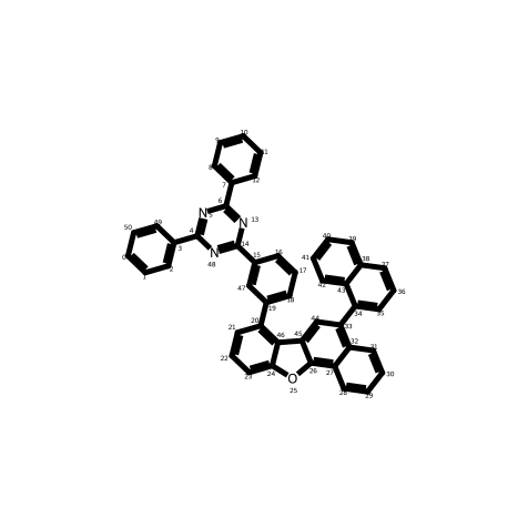 c1ccc(-c2nc(-c3ccccc3)nc(-c3cccc(-c4cccc5oc6c7ccccc7c(-c7cccc8ccccc78)cc6c45)c3)n2)cc1